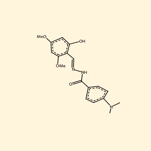 COc1cc(O)c(C=NNC(=O)c2ccc(N(C)C)cc2)c(OC)c1